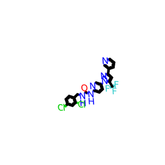 O=C(NCc1ccc(Cl)cc1Cl)Nc1ccc(-n2nc(-c3cccnc3)cc2C(F)(F)F)cn1